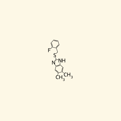 Cc1cc2nc(SCc3ccccc3F)[nH]c2cc1C